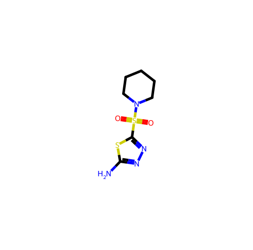 Nc1nnc(S(=O)(=O)N2CCCCC2)s1